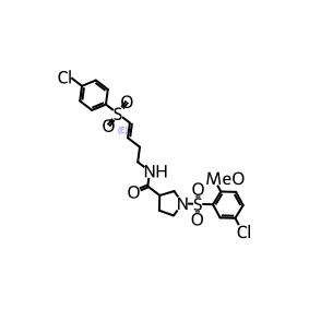 COc1ccc(Cl)cc1S(=O)(=O)N1CCC(C(=O)NCC/C=C/S(=O)(=O)c2ccc(Cl)cc2)C1